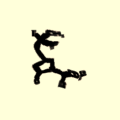 CCOC(=O)C(CC)N1CC(CC(C)(F)F)CC1=O